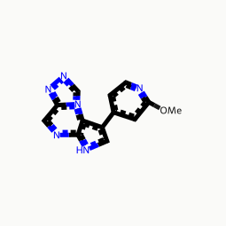 COc1cc(-c2c[nH]c3ncc4nncn4c23)ccn1